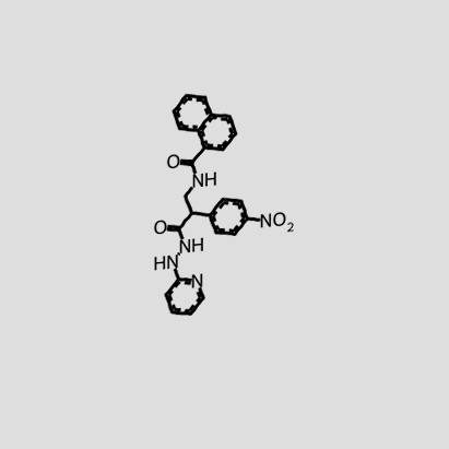 O=C(NCC(C(=O)NNc1ccccn1)c1ccc([N+](=O)[O-])cc1)c1cccc2ccccc12